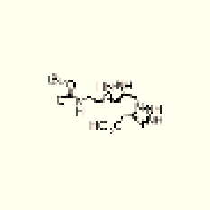 CC(C)(C)OC(=O)NCCN1C=C(CN2NNN=C2CC(=O)O)NN1